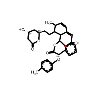 Cc1ccc(O[C@H](C(=O)OC2CC(O)C=C3C=CC(C)C(CC[C@@H]4C[C@@H](O)CC(=O)O4)C32)c2ccccc2)cc1